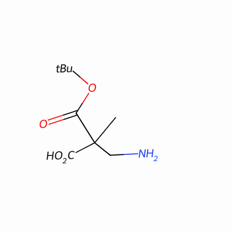 CC(C)(C)OC(=O)C(C)(CN)C(=O)O